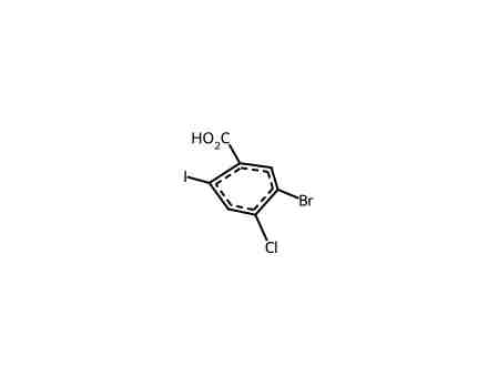 O=C(O)c1cc(Br)c(Cl)cc1I